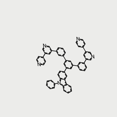 c1ccc(-n2c3ccccc3c3cc(-c4cc(-c5cccc(-c6cncc(-c7ccncc7)c6)c5)cc(-c5cccc(-c6cncc(-c7ccncc7)c6)c5)c4)ccc32)cc1